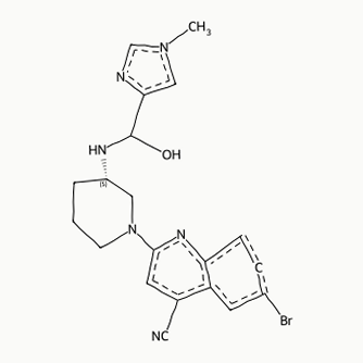 Cn1cnc(C(O)N[C@H]2CCCN(c3cc(C#N)c4cc(Br)ccc4n3)C2)c1